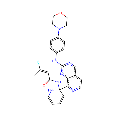 C/C(F)=C\C(=O)NC1(c2nccc3cnc(Nc4ccc(N5CCOCC5)cc4)nc23)C=CC=CN1